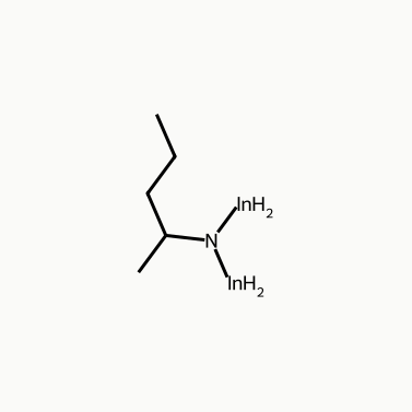 CCCC(C)[N]([InH2])[InH2]